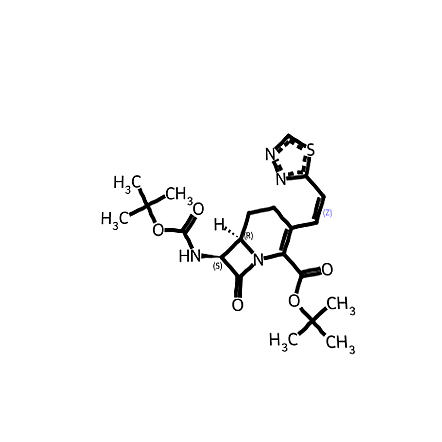 CC(C)(C)OC(=O)N[C@@H]1C(=O)N2C(C(=O)OC(C)(C)C)=C(/C=C\c3nncs3)CC[C@H]12